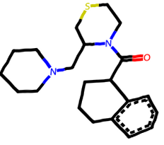 O=C(C1CCCc2ccccc21)N1CCSCC1CN1CCCCC1